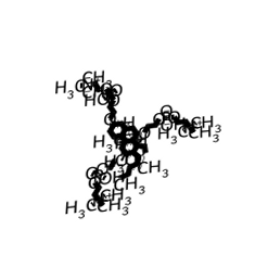 CCCC[C@@H](C)[C@H]1CC[C@H]2[C@@H]3[C@H](OCCOP(=O)(O)OCC[N+](C)(C)C)C[C@@H]4C[C@H](OCCOP(=O)(O)OCC[N+](C)(C)C)CC[C@]4(C)[C@H]3C[C@H](OCCOP(=O)(O)OCC[N+](C)(C)C)[C@]12C